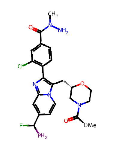 COC(=O)N1CCO[C@@H](Cc2c(-c3ccc(C(=O)N(C)N)cc3Cl)nc3cc(C(F)P)ccn23)C1